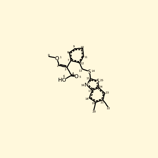 CO/C=C(/C(=O)O)c1ccccc1CSc1nc2cc(C)c(C)cc2s1